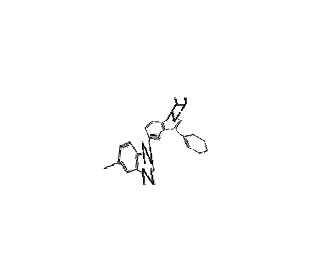 Cc1ccc2c(c1)ncn2-c1ccc2[nH]cc(C3=CCCCC3)c2c1